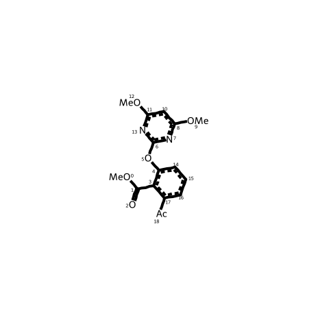 COC(=O)c1c(Oc2nc(OC)cc(OC)n2)cccc1C(C)=O